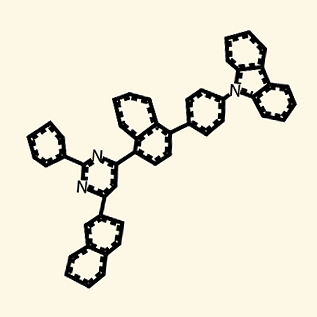 c1ccc(-c2nc(-c3ccc4ccccc4c3)cc(-c3ccc(-c4ccc(-n5c6ccccc6c6ccccc65)cc4)c4ccccc34)n2)cc1